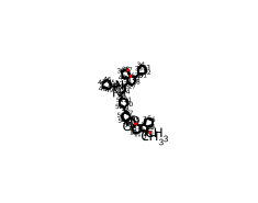 CC1(C)c2ccccc2-c2c1ccc1c2Oc2cc(-c3ccc(-c4cc(-c5ccc(-c6ccccc6)c6ccccc56)nc(-c5ccccc5)n4)cc3)ccc2O1